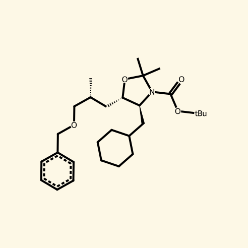 C[C@@H](COCc1ccccc1)C[C@@H]1OC(C)(C)N(C(=O)OC(C)(C)C)[C@H]1CC1CCCCC1